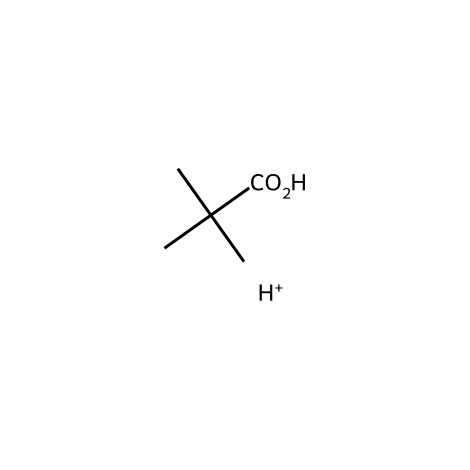 CC(C)(C)C(=O)O.[H+]